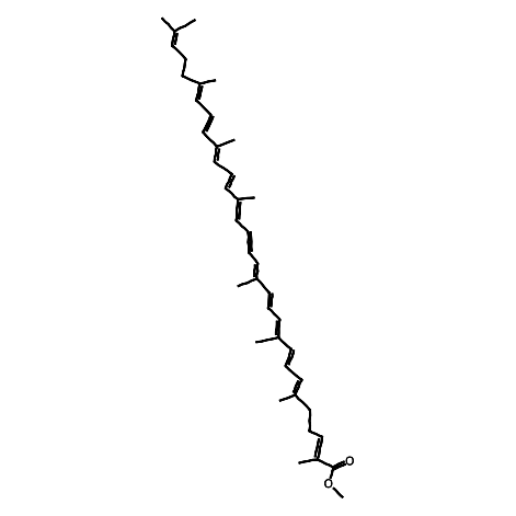 COC(=O)/C(C)=C/CC/C(C)=C/C=C/C(C)=C/C=C/C(C)=C/C=C/C=C(C)/C=C/C=C(C)/C=C/C=C(\C)CCC=C(C)C